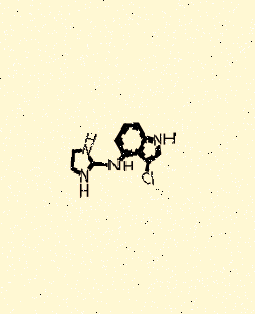 Clc1c[nH]c2cccc(NC3NCCN3)c12